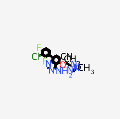 C[C@H](Oc1c(C#N)cc(-c2ccc(F)c(Cl)c2F)c2ncnc(N)c12)c1ncn(C)n1